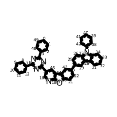 c1ccc(-c2nc(-c3ccccc3)nc(-c3cnc4oc5ccc(-c6ccc7c(c6)c6ccccc6n7-c6ccccc6)cc5c4c3)n2)cc1